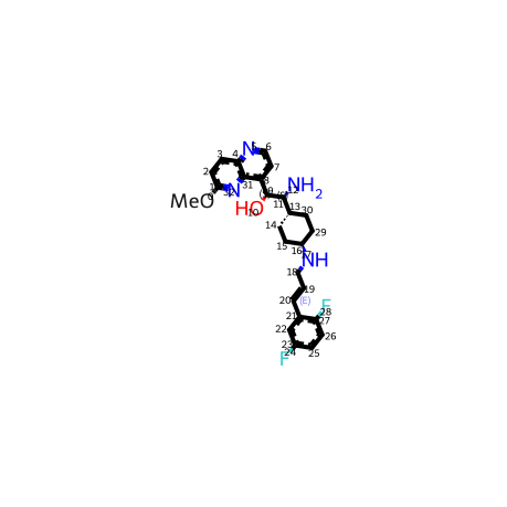 COc1ccc2nccc([C@H](O)[C@@H](N)[C@H]3CC[C@H](NC/C=C/c4cc(F)ccc4F)CC3)c2n1